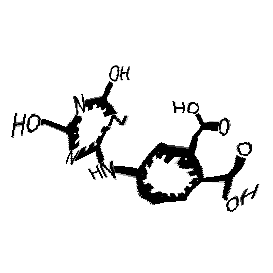 O=C(O)c1ccc(Nc2nc(O)nc(O)n2)cc1C(=O)O